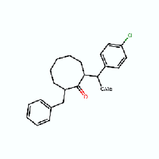 COC(c1ccc(Cl)cc1)C1CCCCCC(Cc2ccccc2)C1=O